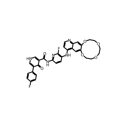 O=C(Nc1ccc(Nc2ccnc3cc4c(cc23)OCCOCCOCCO4)c(F)n1)c1c[nH]cc(-c2ccc(F)cc2)c1=O